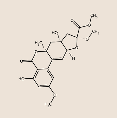 COC(=O)[C@]1(OC)C[C@]2(O)C[C@]3(C)OC(=O)c4c(O)cc(OC)cc4C3=C[C@@H]2O1